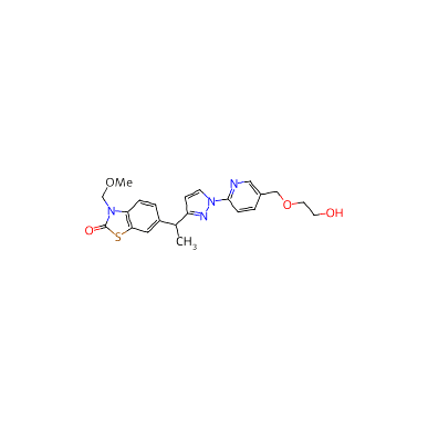 COCn1c(=O)sc2cc(C(C)c3ccn(-c4ccc(COCCO)cn4)n3)ccc21